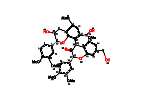 COc1ccc([C@H]2Oc3c(c(OC)cc(CO)c3[C@@H]3C(=O)[C@@H](c4ccc(OC)c(OC)c4)Oc4cc(CO)cc(OC)c43)C[C@@H]2O)cc1OC